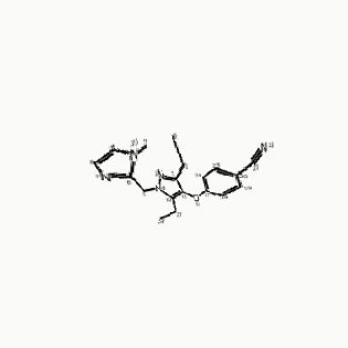 CCc1nn(Cc2nccn2C)c(CC)c1Oc1ccc(C#N)cc1